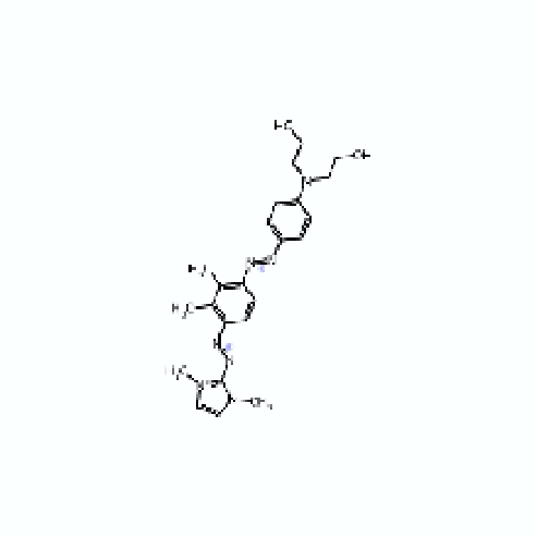 Cc1c(/N=N/c2ccc(N(CCO)CCO)cc2)ccc(/N=N/c2n(C)cc[n+]2C)c1C